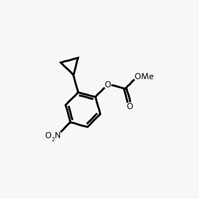 COC(=O)Oc1ccc([N+](=O)[O-])cc1C1CC1